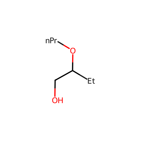 CCCOC(CC)CO